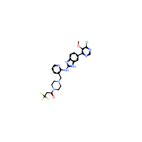 COc1c(Cl)ncnc1-c1ccc2nc(Nc3ncccc3CN3CCN(C(=O)CC(F)(F)F)CC3)[nH]c2c1